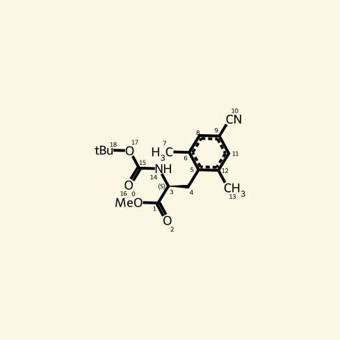 COC(=O)[C@H](Cc1c(C)cc(C#N)cc1C)NC(=O)OC(C)(C)C